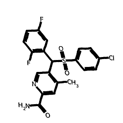 Cc1cc(C(N)=O)ncc1C(c1cc(F)ccc1F)S(=O)(=O)c1ccc(Cl)cc1